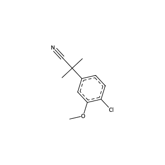 COc1cc(C(C)(C)C#N)ccc1Cl